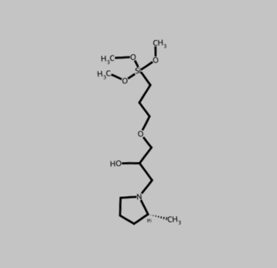 CO[Si](CCCOCC(O)CN1CCC[C@H]1C)(OC)OC